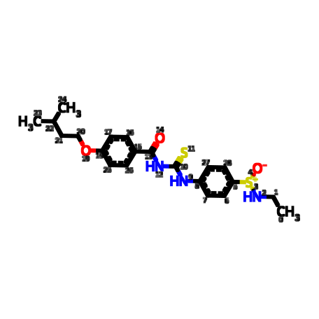 CCN[S+]([O-])c1ccc(NC(=S)NC(=O)c2ccc(OCCC(C)C)cc2)cc1